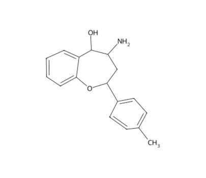 Cc1ccc(C2CC(N)C(O)c3ccccc3O2)cc1